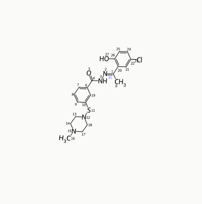 C/C(=N\NC(=O)c1cccc(SN2CCN(C)CC2)c1)c1cc(Cl)ccc1O